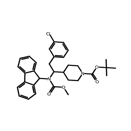 COC(=O)N(C1c2ccccc2-c2ccccc21)C(Cc1cccc(Cl)c1)C1CCN(C(=O)OC(C)(C)C)CC1